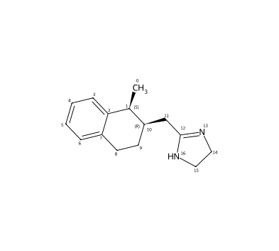 C[C@@H]1c2ccccc2CC[C@@H]1CC1=NCCN1